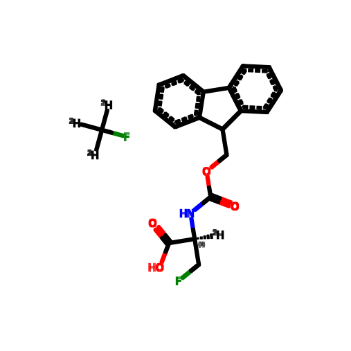 [2H]C([2H])([2H])F.[2H][C@@](CF)(NC(=O)OCC1c2ccccc2-c2ccccc21)C(=O)O